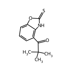 CC(C)(C)C(=O)c1cccc2oc(=S)[nH]c12